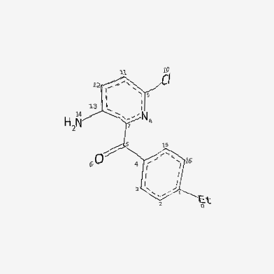 CCc1ccc(C(=O)c2nc(Cl)ccc2N)cc1